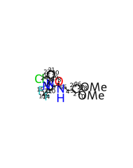 COC1C=C(CCNC(=O)c2cc(C(C)(F)F)nn2-c2ccccc2Cl)CCC1OC